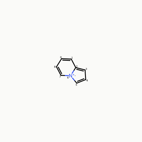 C1=CC2=CC=C[N+]2C=C1